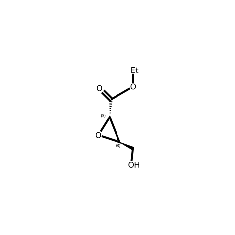 CCOC(=O)[C@H]1O[C@@H]1CO